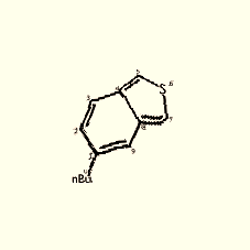 CCCCc1ccc2cscc2c1